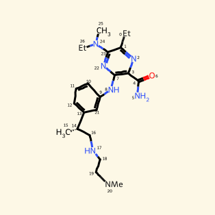 CCc1nc(C(N)=O)c(Nc2cccc([C@@H](C)CNCCNC)c2)nc1N(C)CC